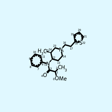 COC(C)C(=O)N(c1ccccc1)[C@@H]1CCN(CCc2cccs2)C[C@@H]1C